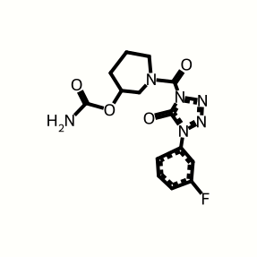 NC(=O)OC1CCCN(C(=O)n2nnn(-c3cccc(F)c3)c2=O)C1